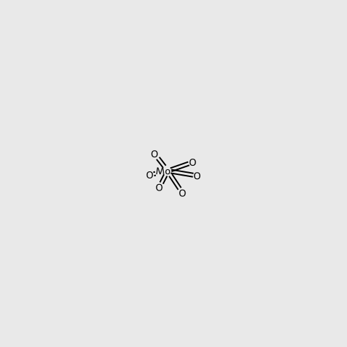 [O]=[Mo](=[O])(=[O])(=[O])(=[O])=[O]